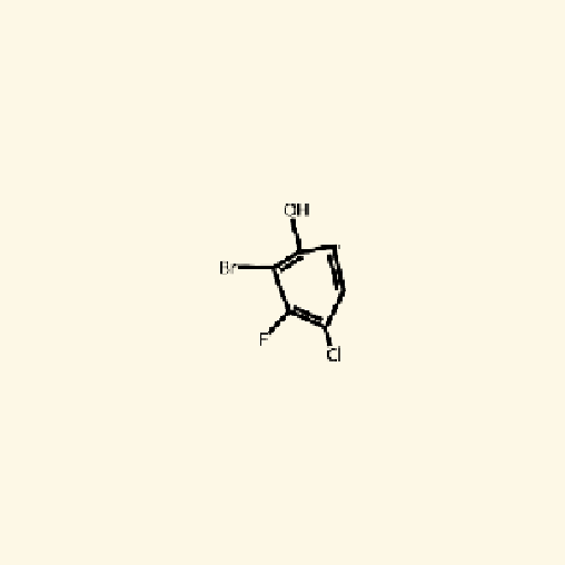 Oc1[c]cc(Cl)c(F)c1Br